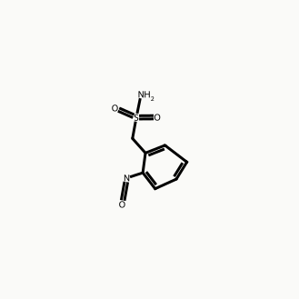 NS(=O)(=O)Cc1ccccc1N=O